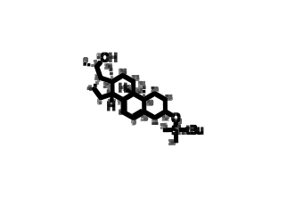 C[C@H](O)[C@H]1CC[C@H]2C3=CC=C4CC(O[Si](C)(C)C(C)(C)C)CC[C@]4(C)[C@H]3CC[C@]12C